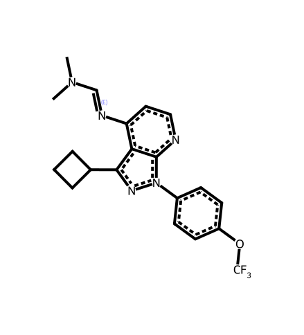 CN(C)/C=N/c1ccnc2c1c(C1CCC1)nn2-c1ccc(OC(F)(F)F)cc1